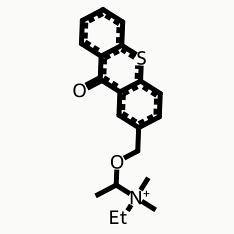 CC[N+](C)(C)C(C)OCc1ccc2sc3ccccc3c(=O)c2c1